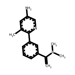 C=C(c1cccc(-c2ncc(N)cc2C)c1)N(C)C